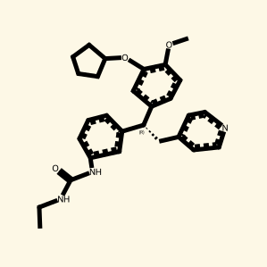 CCNC(=O)Nc1cccc([C@@H](Cc2ccncc2)c2ccc(OC)c(OC3CCCC3)c2)c1